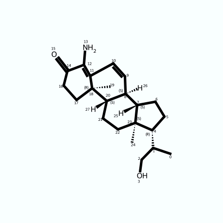 CC(CO)[C@H]1CC[C@H]2[C@@H]3C=CC4=C(N)C(=O)CC[C@]4(C)[C@H]3CC[C@]12C